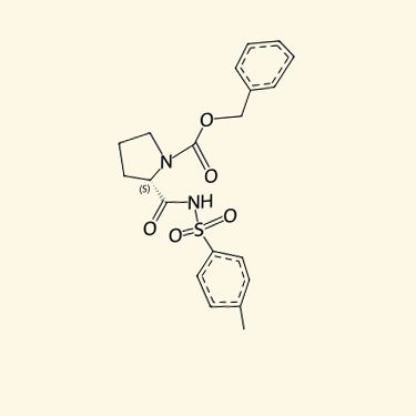 Cc1ccc(S(=O)(=O)NC(=O)[C@@H]2CCCN2C(=O)OCc2ccccc2)cc1